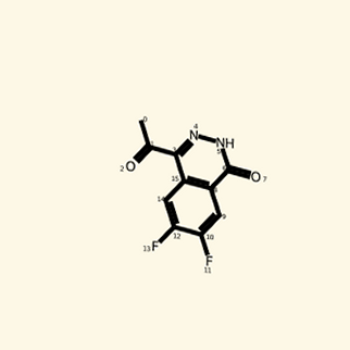 CC(=O)c1n[nH]c(=O)c2cc(F)c(F)cc12